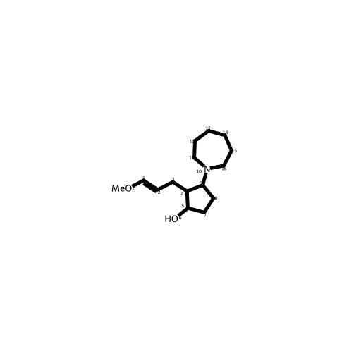 COC=CCC1C(O)CCC1N1CCCCCC1